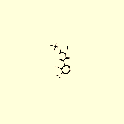 CC[C@H](C(=N)C(=O)c1cccc([N+](=O)[O-])c1O)C(=O)OC(C)(C)C